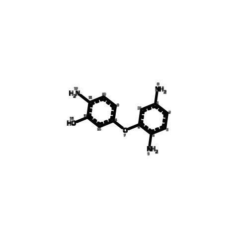 Nc1ccc(N)c(Oc2ccc(N)c(O)c2)c1